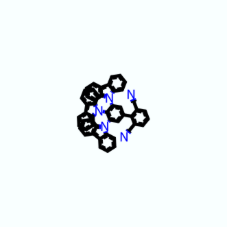 N#Cc1cccc(C#N)c1-c1cc(-n2c3ccccc3c3ccccc32)c(-n2c3ccccc3c3ccccc32)c(-n2c3ccccc3c3ccccc32)c1